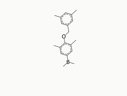 CB(C)c1cc(C)c(OCc2cc(C)cc(C)c2)c(C)c1